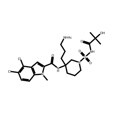 CC(=O)NCCCC1(NC(=O)c2cc3c(Cl)c(Cl)ccc3n2C)CCCN(S(=O)(=O)NC(=O)C(C)(C)O)C1